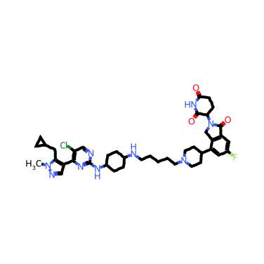 Cn1ncc(-c2nc(NC3CCC(NCCCCCN4CCC(c5cc(F)cc6c5CN(C5CCC(=O)NC5=O)C6=O)CC4)CC3)ncc2Cl)c1CC1CC1